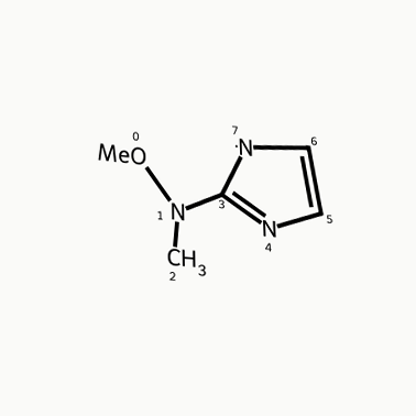 CON(C)C1=NC=C[N]1